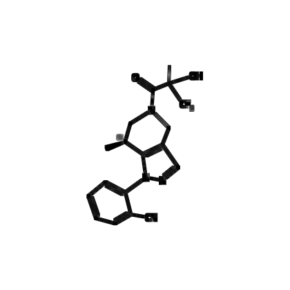 C[C@H]1CN(C(=O)C(C)(O)C(F)(F)F)Cc2cnn(-c3ccccc3C#N)c21